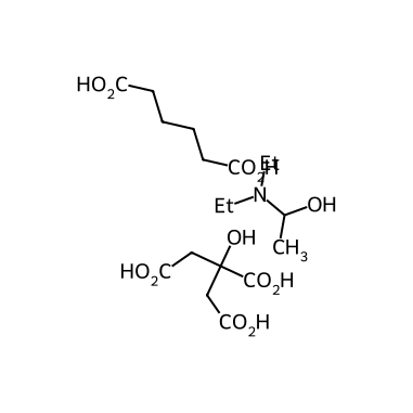 CCN(CC)C(C)O.O=C(O)CC(O)(CC(=O)O)C(=O)O.O=C(O)CCCCC(=O)O